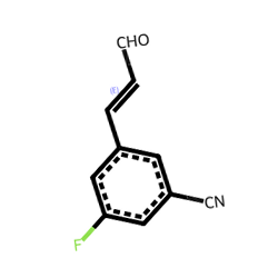 N#Cc1cc(F)cc(/C=C/C=O)c1